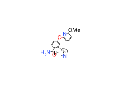 COc1cccc(Oc2ccc(C(N)=O)c([C@@H]3CN4CCC3CC4)c2)n1